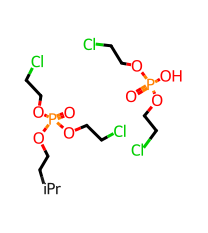 CC(C)CCOP(=O)(OCCCl)OCCCl.O=P(O)(OCCCl)OCCCl